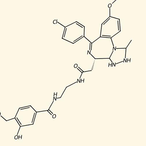 COc1ccc2c(c1)C(c1ccc(Cl)cc1)=N[C@@H](CC(=O)NCCNC(=O)c1ccc(CO)c(O)c1)C1NNC(C)N21